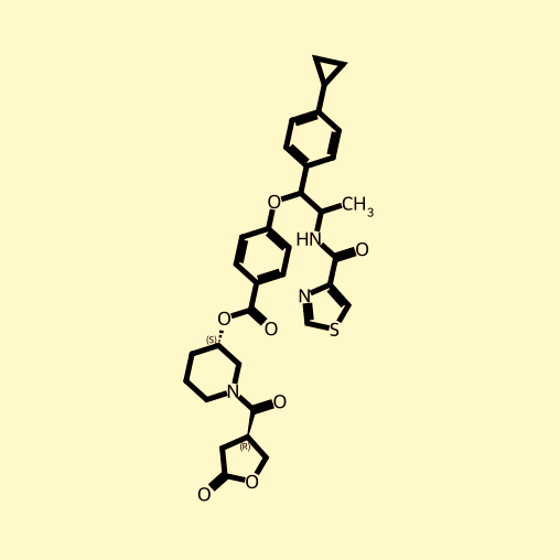 CC(NC(=O)c1cscn1)C(Oc1ccc(C(=O)O[C@H]2CCCN(C(=O)[C@H]3COC(=O)C3)C2)cc1)c1ccc(C2CC2)cc1